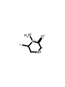 NN1C(=O)CNCC1I